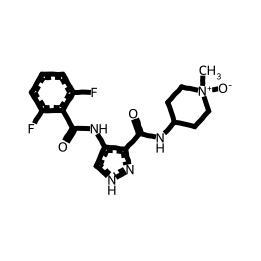 C[N+]1([O-])CCC(NC(=O)c2n[nH]cc2NC(=O)c2c(F)cccc2F)CC1